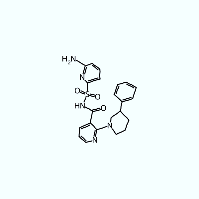 Nc1cccc(S(=O)(=O)NC(=O)c2cccnc2N2CCCC(c3ccccc3)C2)n1